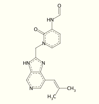 CC(C)=Cc1cncc2[nH]c(Cn3cccc(NC=O)c3=O)nc12